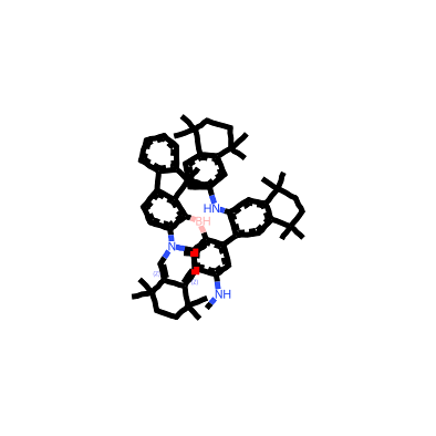 C=C(C)/C=C1\C(=C/N2c3cc(NC)cc(-c4cc5c(cc4Nc4ccc6c(c4)C(C)(C)CCC6(C)C)C(C)(C)CCC5(C)C)c3Bc3c2ccc2c3C(C)(C)c3ccccc3-2)C(C)(C)CCC1(C)C